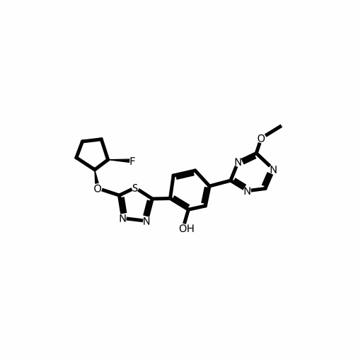 COc1ncnc(-c2ccc(-c3nnc(O[C@H]4CCC[C@H]4F)s3)c(O)c2)n1